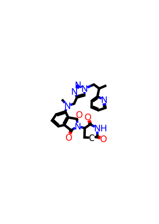 CC(Cn1cc(CN(C)c2cccc3c2C(=O)N(C2CCC(=O)NC2=O)C3=O)nn1)c1ccccn1